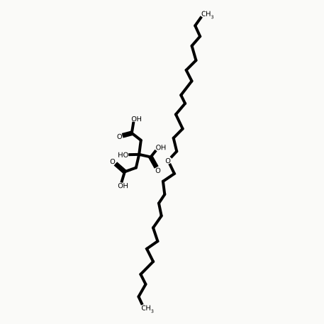 CCCCCCCCCCCCCOCCCCCCCCCCCCC.O=C(O)CC(O)(CC(=O)O)C(=O)O